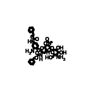 CN1C(=O)OC2C3O[C@H](O[C@H]4C=C[C@H](NC(=O)OCc5ccccc5)CC4N)[C@@H](NC(=O)OCc4ccccc4)C[C@@H]3OC(O[C@H]3OC(CO)[C@@H](N)C(O)C3O)C21